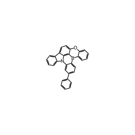 c1ccc(-c2ccc3c(c2)-n2c4ccccc4c4ccc5c(c42)B3c2ccccc2O5)cc1